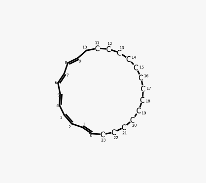 [C]1=C/C=C\C=C\C=C\C=C\CCCCCCCCCCCCCC/1